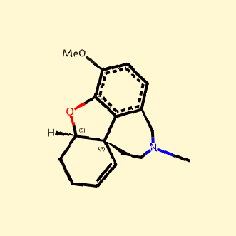 COc1ccc2c3c1O[C@H]1CCC=C[C@@]31CCN(C)C2